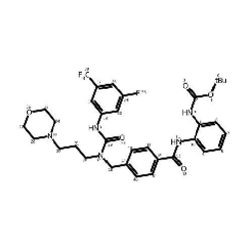 CC(C)(C)OC(=O)Nc1ccccc1NC(=O)c1ccc(CN(CCCN2CCOCC2)C(=O)Nc2cc(F)cc(C(F)(F)F)c2)cc1